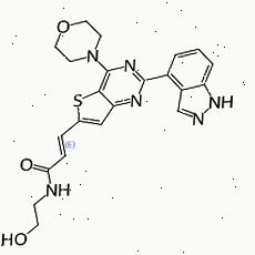 O=C(/C=C/c1cc2nc(-c3cccc4[nH]ncc34)nc(N3CCOCC3)c2s1)NCCO